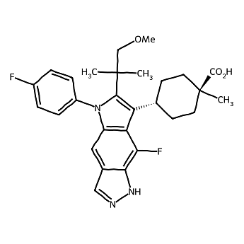 COCC(C)(C)c1c([C@H]2CC[C@](C)(C(=O)O)CC2)c2c(F)c3[nH]ncc3cc2n1-c1ccc(F)cc1